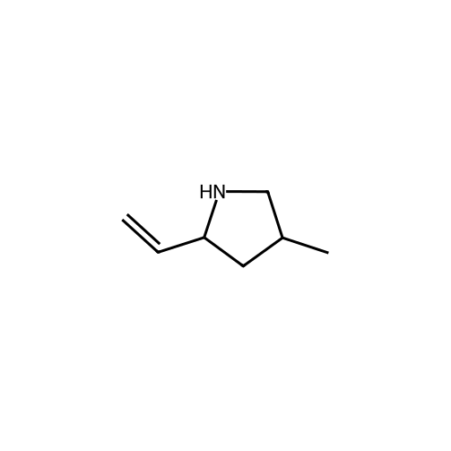 C=CC1CC(C)CN1